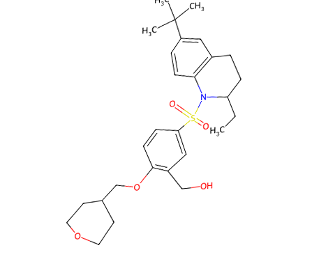 CCC1CCc2cc(C(C)(C)C)ccc2N1S(=O)(=O)c1ccc(OCC2CCOCC2)c(CO)c1